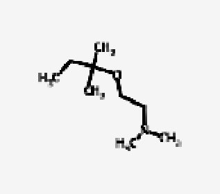 CCC(C)(C)OCCN(C)C